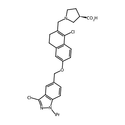 CC(C)n1nc(Cl)c2cc(COc3ccc4c(c3)CCC(CN3CC[C@@H](C(=O)O)C3)=C4Cl)ccc21